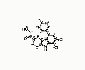 Cc1ncc(-c2cc(Cl)c(Cl)c3[nH]c4c(c23)CN(C(=O)CO)CC4)cn1